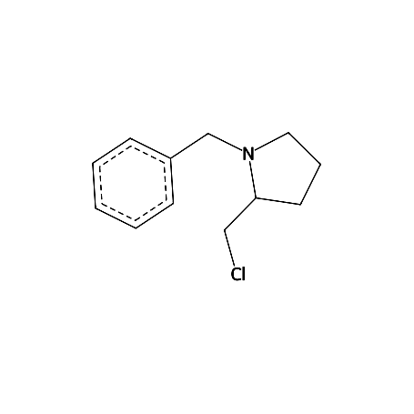 ClCC1CCCN1Cc1ccccc1